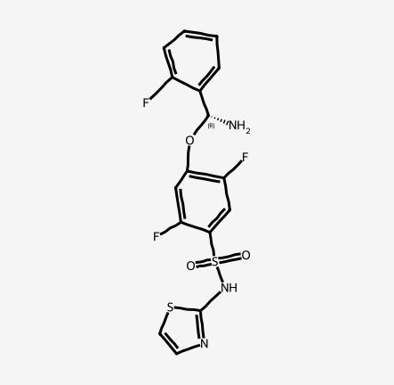 N[C@H](Oc1cc(F)c(S(=O)(=O)Nc2nccs2)cc1F)c1ccccc1F